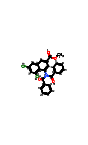 COC(=O)c1cc(N(C(=O)c2ccccc2)C(=O)c2ccccc2)c2c(Cl)cc(Cl)cc2c1